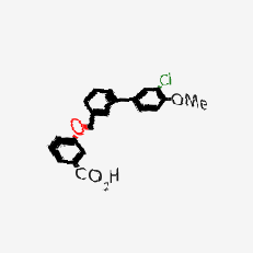 COc1ccc(-c2cccc(COc3cccc(C(=O)O)c3)c2)cc1Cl